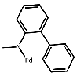 C[N]([Pd])c1ccccc1-c1ccccc1